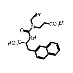 CCOC(=O)CCN(CC(C)C)C(=O)N[C@@H](Cc1ccc2ccccc2c1)C(=O)O